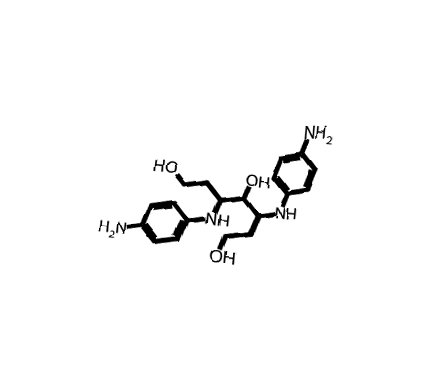 Nc1ccc(NC(CCO)C(O)C(CCO)Nc2ccc(N)cc2)cc1